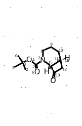 CC(C)(C)OC(=O)N1CCC[C@H]2CC(=O)[C@H]21